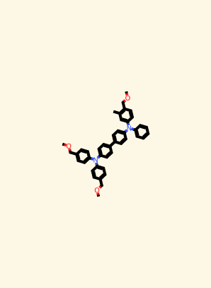 COCc1ccc(N(c2ccc(COC)cc2)c2ccc(-c3ccc(N(c4ccccc4)c4ccc(COC)c(C)c4)cc3)cc2)cc1